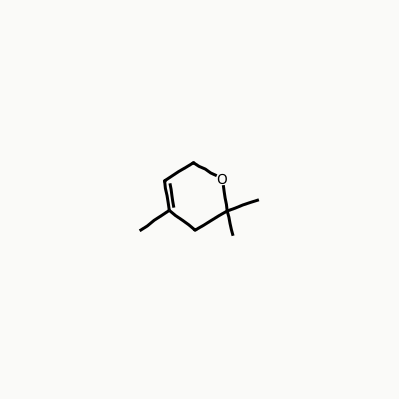 CC1=CCOC(C)(C)C1